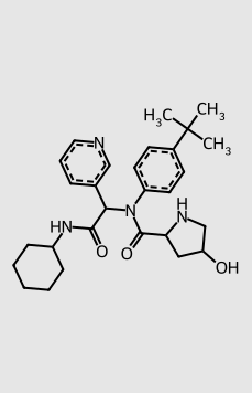 CC(C)(C)c1ccc(N(C(=O)C2CC(O)CN2)C(C(=O)NC2CCCCC2)c2cccnc2)cc1